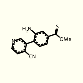 COC(=S)c1ccc(-c2cnccc2C#N)c(N)c1